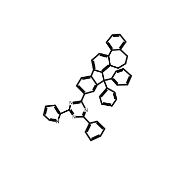 c1ccc(-c2nc(-c3ccc4c(c3)C(c3ccccc3)(c3ccccc3)c3c-4ccc4c3CCCc3ccccc3-4)nc(-c3ccccn3)n2)cc1